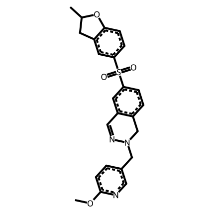 COc1ccc(CN2Cc3ccc(S(=O)(=O)c4ccc5c(c4)CC(C)O5)cc3C=N2)cn1